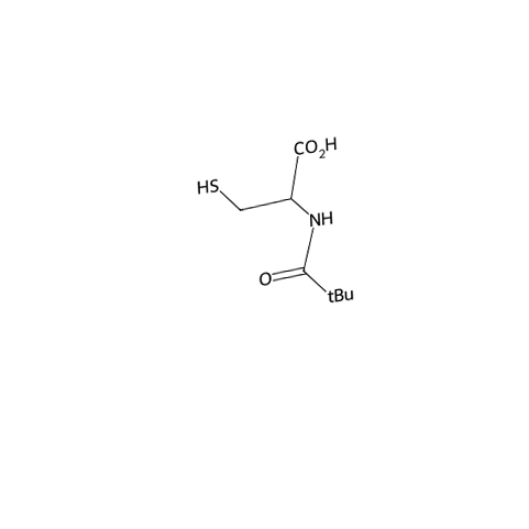 CC(C)(C)C(=O)NC(CS)C(=O)O